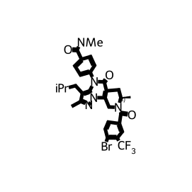 CNC(=O)c1ccc(-n2c(=O)c3c(n4nc(C)c(CC(C)C)c24)CN(C(=O)c2ccc(Br)c(C(F)(F)F)c2)[C@H](C)C3)cc1